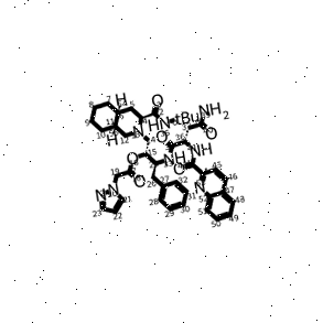 CC(C)(C)NC(=O)[C@@H]1C[C@@H]2CCCC[C@@H]2CN1C[C@@H](OC(=O)Cn1cccn1)[C@H](Cc1ccccc1)NC(=O)[C@H](CC(N)=O)NC(=O)c1ccc2ccccc2n1